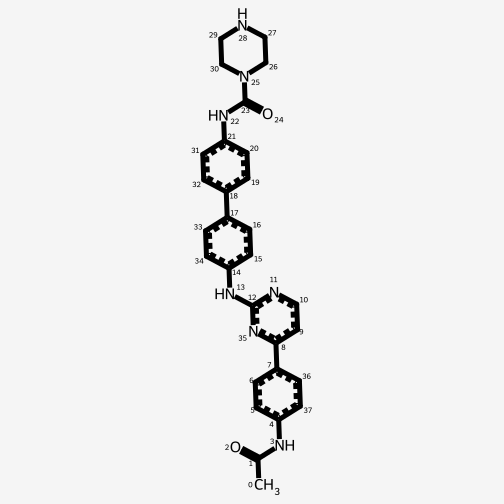 CC(=O)Nc1ccc(-c2ccnc(Nc3ccc(-c4ccc(NC(=O)N5CCNCC5)cc4)cc3)n2)cc1